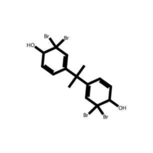 CC(C)(C1=CC(Br)(Br)C(O)C=C1)C1=CC(Br)(Br)C(O)C=C1